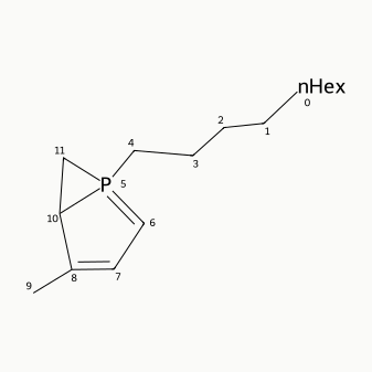 CCCCCCCCCCP12=CC=C(C)C1C2